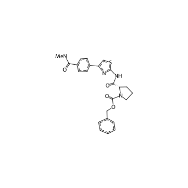 CNC(=O)c1ccc(-c2csc(NC(=O)[C@@H]3CCCN3C(=O)OCc3ccccc3)n2)cc1